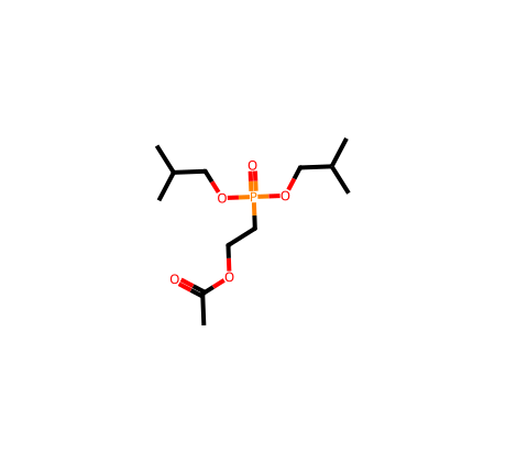 CC(=O)OCCP(=O)(OCC(C)C)OCC(C)C